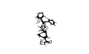 CCC(=O)c1ccc(C2(F)CN(C(c3ccccc3)c3ccccc3)C2)cc1